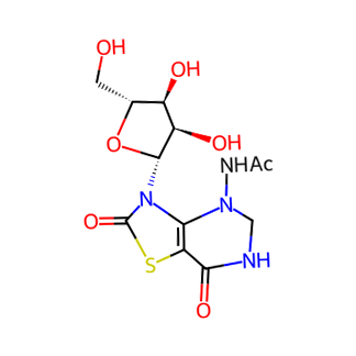 CC(=O)NN1CNC(=O)c2sc(=O)n([C@@H]3O[C@H](CO)[C@@H](O)[C@H]3O)c21